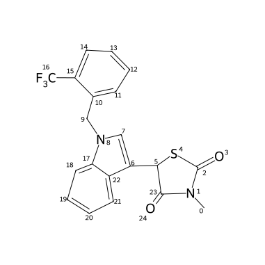 CN1C(=O)SC(c2cn(Cc3ccccc3C(F)(F)F)c3ccccc23)C1=O